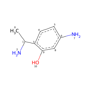 CC(N)c1ccc(N)cc1O